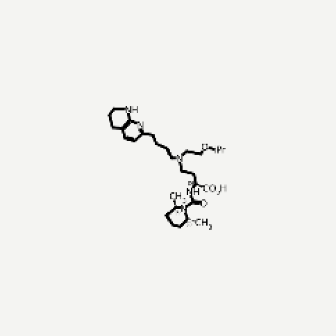 CC(C)OCCN(CCCCc1ccc2c(n1)NCCC2)CC[C@H](NC(=O)N1[C@H](C)CCC[C@H]1C)C(=O)O